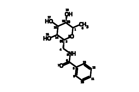 CC1O[C@H](CNC(=O)c2ccccc2)C(O)C(O)[C@@H]1O